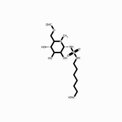 CCCCCCCCCCCCCCCCNS(=O)(=O)N[C@@H]1C(O)C(O)[C@H](O)C(COC=O)N1C